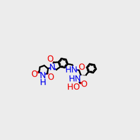 O=C(O)N[C@@H](Cc1ccccc1)C(=O)NCc1ccc2c(c1)CN(C1CCC(=O)NC1=O)C2=O